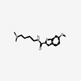 COc1ccc2cc(C(=O)NCCCCN(C)C)sc2c1